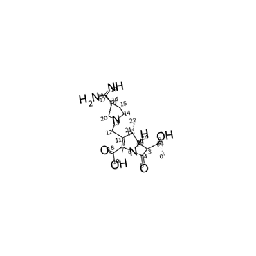 C[C@@H](O)C1C(=O)N2C(C(=O)O)=C(CN3CC[C@H](C(=N)N)C3)[C@H](C)[C@H]12